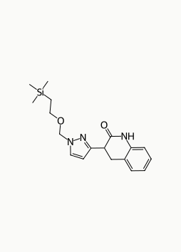 C[Si](C)(C)CCOCn1ccc(C2Cc3ccccc3NC2=O)n1